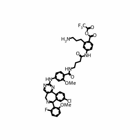 COc1cc(Nc2ncc3c(n2)-c2ccc(Cl)cc2C(c2c(F)cccc2OC)=NC3)ccc1C(=O)NCCCC(=O)Nc1ccc(C(=O)OC(=O)C(F)(F)F)c(CCCN)c1